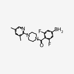 Bc1cc(F)c(C(=O)N2CCN(c3ncc(C)cc3C)CC2)c(F)c1